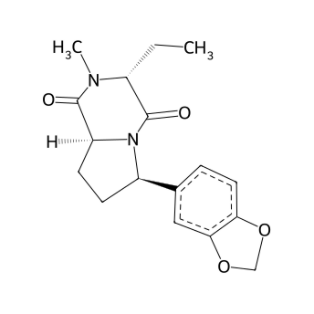 CC[C@@H]1C(=O)N2[C@@H](c3ccc4c(c3)OCO4)CC[C@H]2C(=O)N1C